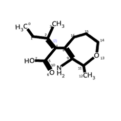 CC/C(C)=C(\C(=O)O)C1=C(N)C(C)OCCC1